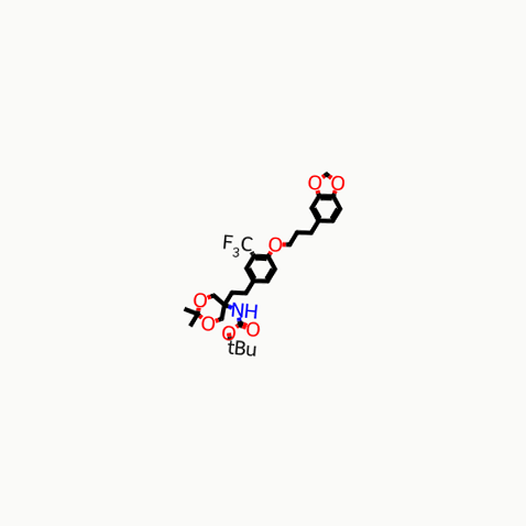 CC(C)(C)OC(=O)NC1(CCc2ccc(OCCCc3ccc4c(c3)OCO4)c(C(F)(F)F)c2)COC(C)(C)OC1